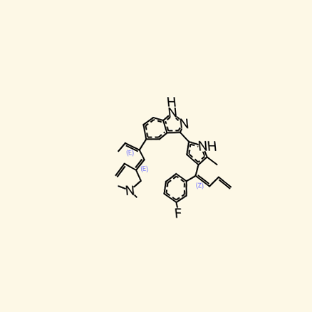 C=C/C=C(/c1cccc(F)c1)c1cc(-c2n[nH]c3ccc(C(/C=C(\C=C)CN(C)C)=C/C)cc23)[nH]c1C